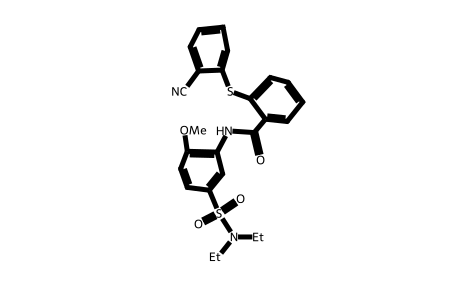 CCN(CC)S(=O)(=O)c1ccc(OC)c(NC(=O)c2ccccc2Sc2ccccc2C#N)c1